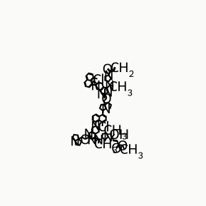 C=CC(=O)N1CC[C@@H](N(C)c2nc(OCC34CCCN3C(c3ccc(Cl)c5c(N6CCc7c(nc(OCC89CCCN8CCC9)nc7N(C)[C@@H]7C[C@H](C)N(C(O)/C=C/C(=O)OC)C7)C6)cccc35)CC4)nc3c2CCN(c2cccc4cccc(Cl)c24)C3)C1